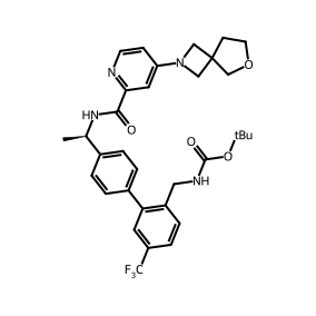 C[C@@H](NC(=O)c1cc(N2CC3(CCOC3)C2)ccn1)c1ccc(-c2cc(C(F)(F)F)ccc2CNC(=O)OC(C)(C)C)cc1